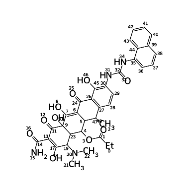 CCC(=O)OC1C2C(=C(O)C3(O)C(=O)C(C(N)=O)=C(O)C(N(C)C)C13)C(=O)c1c(ccc(NC(=O)Nc3cccc4ccccc34)c1O)C2C